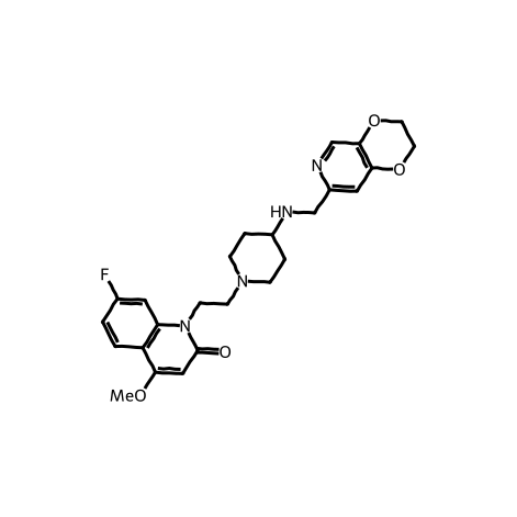 COc1cc(=O)n(CCN2CCC(NCc3cc4c(cn3)OCCO4)CC2)c2cc(F)ccc12